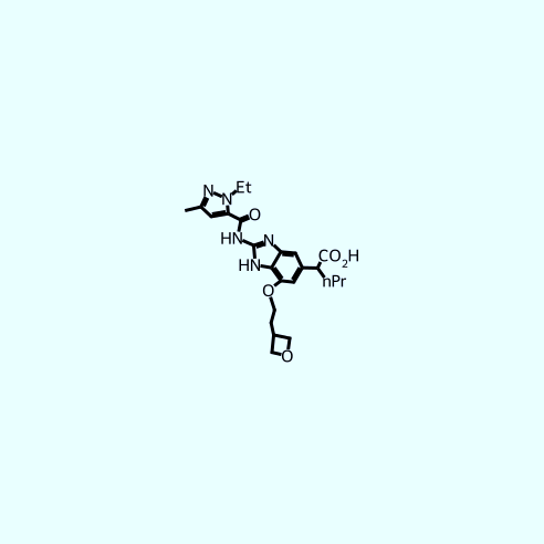 CCCC(C(=O)O)c1cc(OCCC2COC2)c2[nH]c(NC(=O)c3cc(C)nn3CC)nc2c1